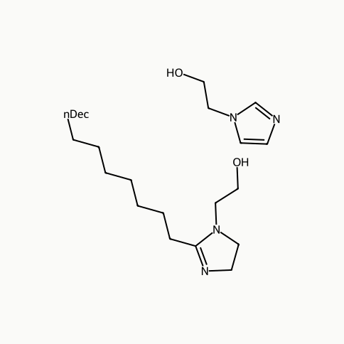 CCCCCCCCCCCCCCCCCC1=NCCN1CCO.OCCn1ccnc1